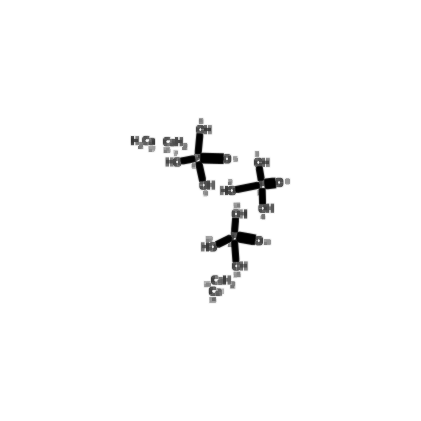 O=P(O)(O)O.O=P(O)(O)O.O=P(O)(O)O.[CaH2].[CaH2].[CaH2].[Ca]